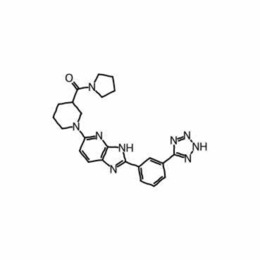 O=C(C1CCCN(c2ccc3nc(-c4cccc(-c5nn[nH]n5)c4)[nH]c3n2)C1)N1CCCC1